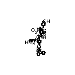 CC(C)c1ccccc1C1CCCN1C1CC2(CCN(c3ccc(C(=O)NS(=O)(=O)c4cc([N+](=O)[O-])c(NCC5CCC(C)(O)CC5)c5c4OCO5)c(Oc4cnc5[nH]ccc5c4)c3)CC2)C1